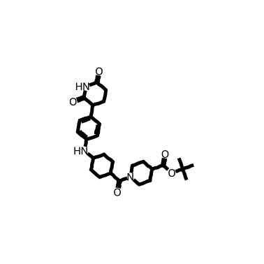 CC(C)(C)OC(=O)C1CCN(C(=O)C2CCC(Nc3ccc(C4CCC(=O)NC4=O)cc3)CC2)CC1